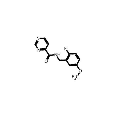 O=C(NCc1cc(OC(F)(F)F)ccc1F)c1ccncn1